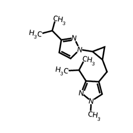 CC(C)c1ccn(C2CC2Cc2cn(C)nc2C(C)C)n1